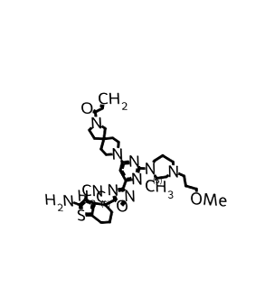 C=CC(=O)N1CCC2(CCN(c3cc(-c4noc([C@@]5(C)CCCc6sc(N)c(C#N)c65)n4)nc(N4CCCN(CCCOC)C[C@@H]4C)n3)CC2)C1